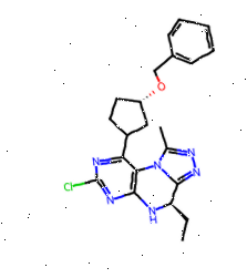 CC[C@H]1Nc2nc(Cl)nc(C3CC[C@H](OCc4ccccc4)C3)c2-n2c(C)nnc21